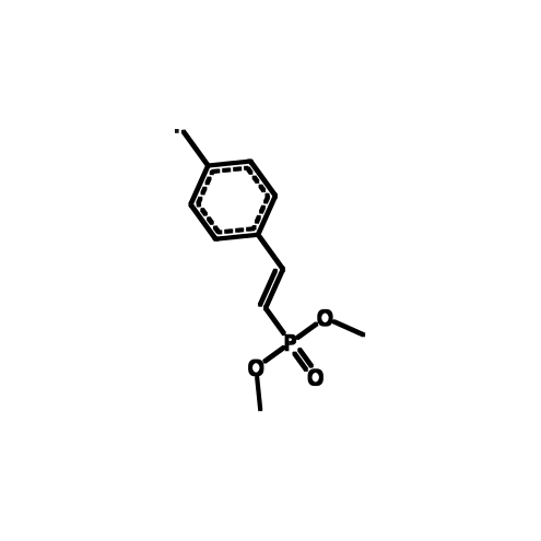 [CH2]c1ccc(/C=C/P(=O)(OC)OC)cc1